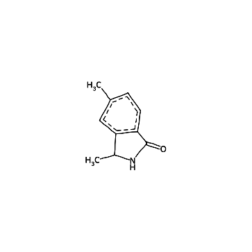 Cc1ccc2c(c1)C(C)NC2=O